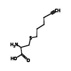 C#CCCCCSCC(N)C(=O)O